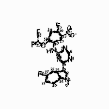 Cn1cc(-c2ncnc(Nc3cc([N+](=O)[O-])c(F)cc3OC(F)F)n2)c2cc(F)ccc21